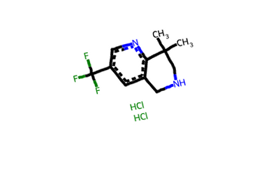 CC1(C)CNCc2cc(C(F)(F)F)cnc21.Cl.Cl